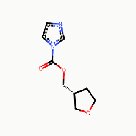 O=C(OC[C@@H]1CCOC1)n1ccnc1